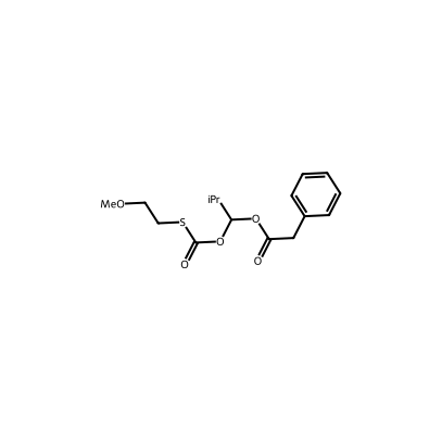 COCCSC(=O)OC(OC(=O)Cc1ccccc1)C(C)C